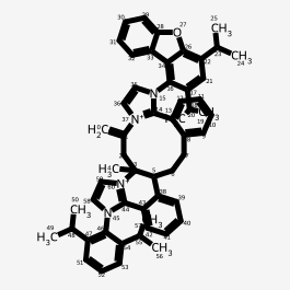 C=C1CC2(C)C(CCc3ccccc3-c3n(-c4c(C(C)C)cc(C(C)C)c5oc6ccccc6c45)cc[n+]31)c1ccccc1-c1n(-c3c(C(C)C)cccc3C(C)C)cc[n+]12